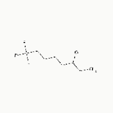 CCC([O])CCCCC(F)(F)F